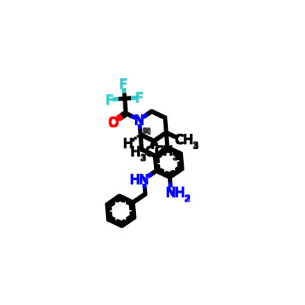 CC12CCN(C(=O)C(F)(F)F)[C@H](Cc3c1ccc(N)c3NCc1ccccc1)C2(C)C